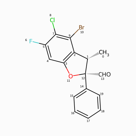 C[C@H]1c2c(cc(F)c(Cl)c2Br)O[C@]1(C=O)c1ccccc1